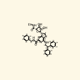 CCNC(=O)[C@H]1O[C@@H](n2cnc3c(NCC(c4ccccc4)c4ccccc4)nc(C(=O)NCc4ccccc4)nc32)[C@@H](O)[C@@H]1O